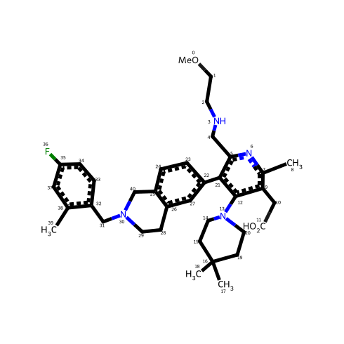 COCCNCc1nc(C)c(CC(=O)O)c(N2CCC(C)(C)CC2)c1-c1ccc2c(c1)CCN(Cc1ccc(F)cc1C)C2